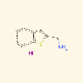 I.NCc1cc2ccccc2s1